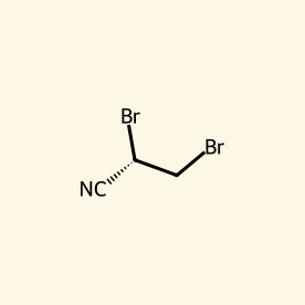 N#C[C@H](Br)CBr